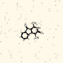 Cc1[nH]c(=O)c(C#N)c2c1C(=O)c1ccccc1-2